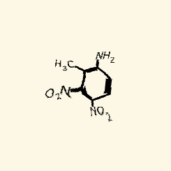 Cc1c(N)ccc([N+](=O)[O-])c1[N+](=O)[O-]